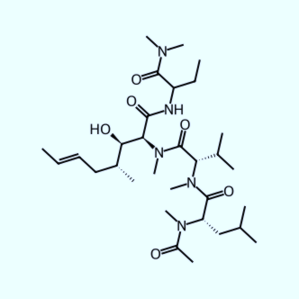 C/C=C/C[C@@H](C)[C@@H](O)[C@@H](C(=O)NC(CC)C(=O)N(C)C)N(C)C(=O)[C@H](C(C)C)N(C)C(=O)[C@H](CC(C)C)N(C)C(C)=O